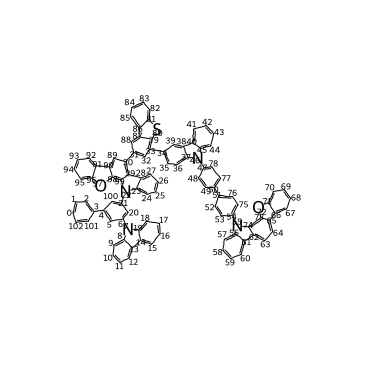 c1ccc(-c2cc(-n3c4ccccc4c4ccccc43)cc(-n3c4ccccc4c4c(-c5cc(-c6ccc7c(c6)c6ccccc6n7-c6ccc(-c7ccc(-n8c9ccccc9c9ccc%10c%11ccccc%11oc%10c98)cc7)cc6)c6sc7ccccc7c6c5)cc5c6ccccc6oc5c43)c2)cc1